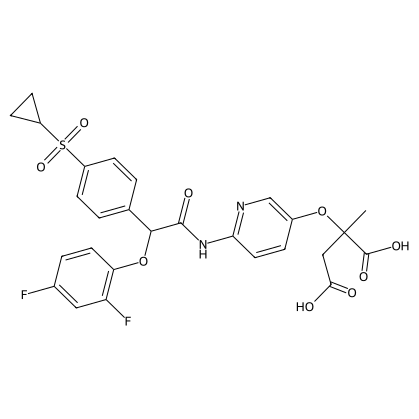 CC(CC(=O)O)(Oc1ccc(NC(=O)C(Oc2ccc(F)cc2F)c2ccc(S(=O)(=O)C3CC3)cc2)nc1)C(=O)O